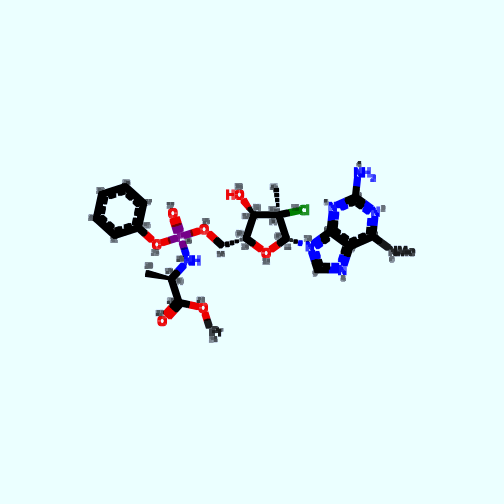 CNc1nc(N)nc2c1ncn2[C@@H]1O[C@H](COP(=O)(N[C@H](C)C(=O)OC(C)C)Oc2ccccc2)[C@@H](O)[C@@]1(C)Cl